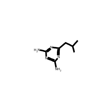 CC(C)Cc1nc(N)nc(N)n1